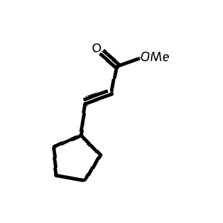 COC(=O)C=CC1CCCC1